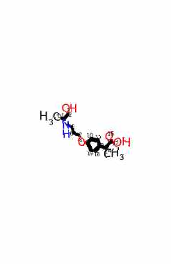 CC(CO)NCCCOc1ccc(C(C)C(=O)O)cc1